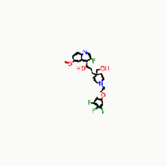 COc1ccc2ncc(F)c([C@H](O)CCC3(CO)CCN(CCOc4cc(F)c(F)c(F)c4)CC3)c2c1